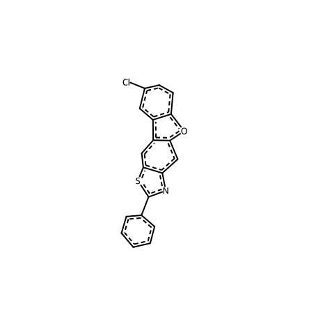 Clc1ccc2oc3cc4nc(-c5ccccc5)sc4cc3c2c1